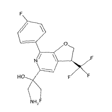 NCC(O)(CF)c1cc2c(c(-c3ccc(F)cc3)n1)OC[C@H]2C(F)(F)F